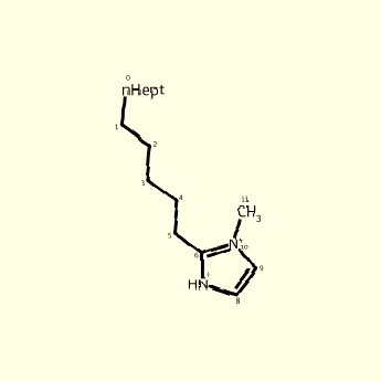 CCCCCCCCCCCCc1[nH]cc[n+]1C